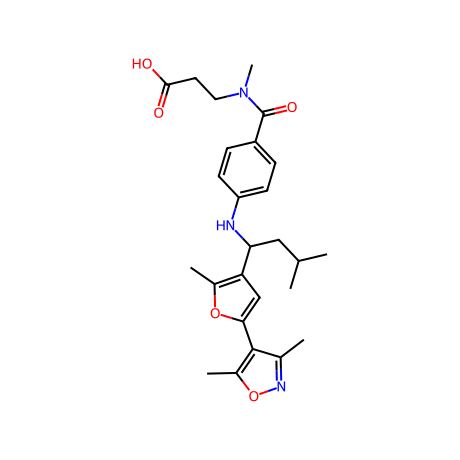 Cc1noc(C)c1-c1cc(C(CC(C)C)Nc2ccc(C(=O)N(C)CCC(=O)O)cc2)c(C)o1